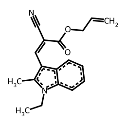 C=CCOC(=O)/C(C#N)=C\c1c(C)n(CC)c2ccccc12